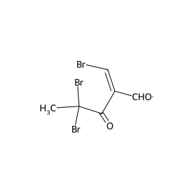 CC(Br)(Br)C(=O)C([C]=O)=CBr